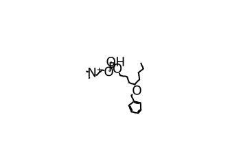 CCCCC(CCCOP(O)OCC[N+](C)(C)C)OCc1ccccc1